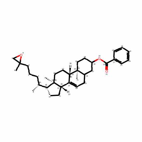 C[C@H](CCCC1(C)CO1)[C@H]1CC[C@H]2C3=CCC4CC(OC(=O)c5ccccc5)CC[C@]4(C)[C@H]3CC[C@]12C